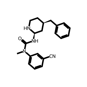 CN(C(=O)N[C@@H]1C[C@H](Cc2ccccc2)CCN1)c1cccc(C#N)c1